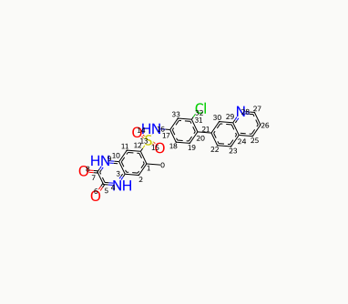 Cc1cc2[nH]c(=O)c(=O)[nH]c2cc1S(=O)(=O)Nc1ccc(-c2ccc3cccnc3c2)c(Cl)c1